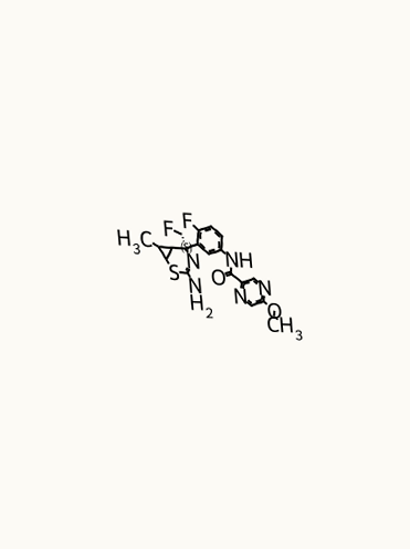 COc1cnc(C(=O)Nc2ccc(F)c([C@@]3(CF)N=C(N)SC4C(C)C43)c2)cn1